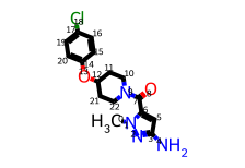 Cn1nc(N)cc1C(=O)N1CCC(Oc2ccc(Cl)cc2)CC1